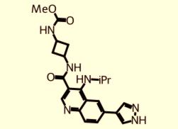 COC(=O)NC1CC(NC(=O)c2cnc3ccc(-c4cn[nH]c4)cc3c2NC(C)C)C1